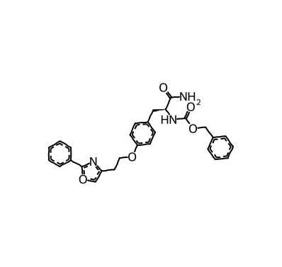 NC(=O)[C@H](Cc1ccc(OCCc2coc(-c3ccccc3)n2)cc1)NC(=O)OCc1ccccc1